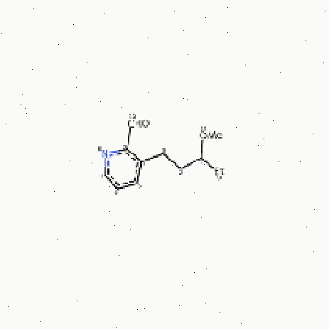 CCC(CCc1cccnc1C=O)OC